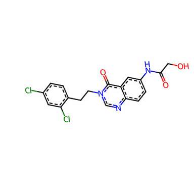 O=C(CO)Nc1ccc2ncn(CCc3ccc(Cl)cc3Cl)c(=O)c2c1